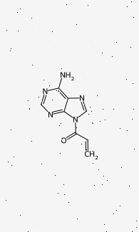 C=CC(=O)n1cnc2c(N)ncnc21